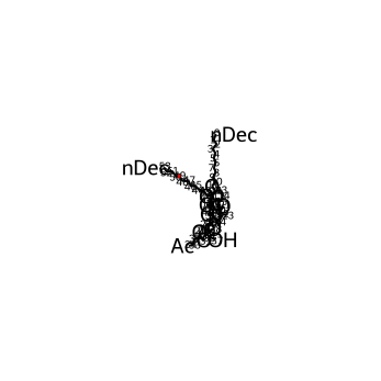 CCCCCCCCCCCCCCCCCCCCOc1cccc(C(=O)n2c(=O)c(C)cn([C@H]3C[C@@H](OC(=O)CCC(C)=O)[C@@H](CO)O3)c2=O)c1OCCCCCCCCCCCCCCCCCCCC